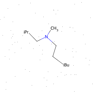 CCC(C)CCN(C)CC(C)C